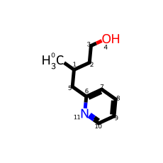 CC(CCO)Cc1ccccn1